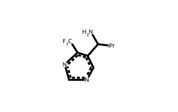 CC(C)C(N)c1cncnc1C(F)(F)F